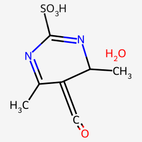 CC1=NC(S(=O)(=O)O)=NC(C)C1=C=O.O